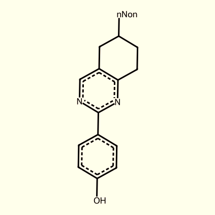 CCCCCCCCCC1CCc2nc(-c3ccc(O)cc3)ncc2C1